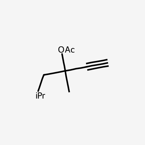 C#CC(C)(CC(C)C)OC(C)=O